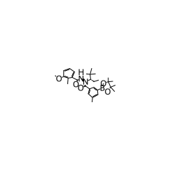 CC[C@@H](N(NC(=O)c1cccc(OC)c1C)C(=O)c1cc(C)cc(B2OC(C)(C)C(C)(C)O2)c1)C(C)(C)C